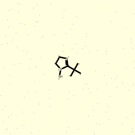 CC(C)(C)C1=NCCN1S